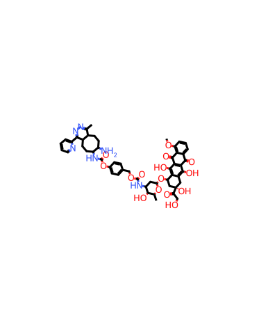 COc1cccc2c1C(=O)c1c(O)c3c(c(O)c1C2=O)C[C@@](O)(C(=O)CO)CC3OC1CC(NC(=O)OCc2ccc(OC(=O)NC3CCC4C(c5ccccn5)=NN=C(C)C4CCC3N)cc2)C(O)C(C)O1